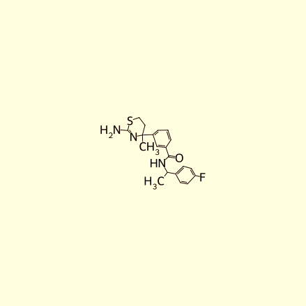 CC(NC(=O)c1cccc(C2(C)CCSC(N)=N2)c1)c1ccc(F)cc1